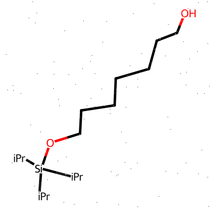 CC(C)[Si](OCCCCCCCO)(C(C)C)C(C)C